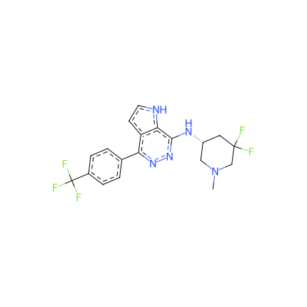 CN1C[C@H](Nc2nnc(-c3ccc(C(F)(F)F)cc3)c3cc[nH]c23)CC(F)(F)C1